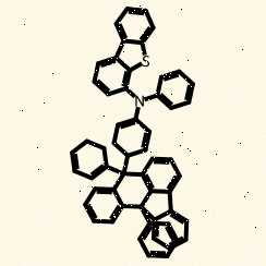 C1=CCCC(C2(C3C=CC(N(c4ccccc4)c4cccc5c4sc4ccccc45)=CC3)c3ccccc3C3(c4ccccc4)c4ccccc4-c4cccc2c43)=C1